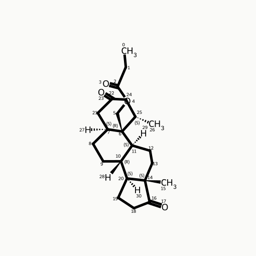 CCC(=O)OC[C@]12[C@@H](CC[C@@H]3[C@@H]1CC[C@]1(C)C(=O)CC[C@@H]31)CC(=O)C[C@@H]2C